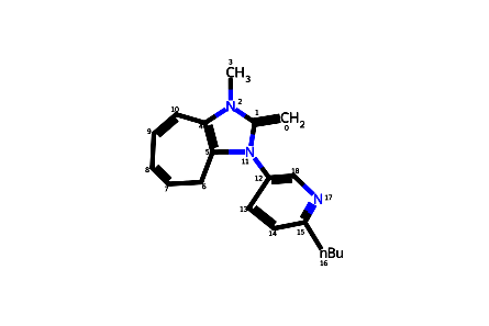 C=C1N(C)C2=C(CC=CC=C2)N1c1ccc(CCCC)nc1